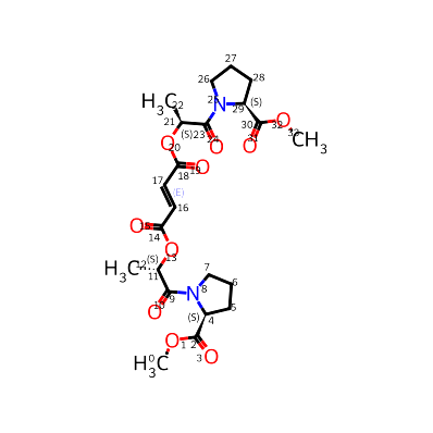 COC(=O)[C@@H]1CCCN1C(=O)[C@H](C)OC(=O)/C=C/C(=O)O[C@@H](C)C(=O)N1CCC[C@H]1C(=O)OC